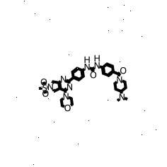 CN(C)C1CCN(C(=O)c2ccc(NC(=O)Nc3ccc(-c4nc5c(c(N6CCOCC6)n4)CN(S(C)(=O)=O)C5)cc3)cc2)CC1